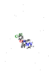 C#CC(C)N(C)/C=N/c1c(C(C)C)cc(Oc2ccc(Cl)c(Cl)c2)nc1C(C)C